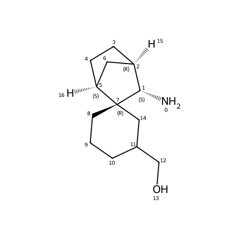 N[C@H]1[C@@H]2CC[C@@H](C2)[C@]12CCCC(CO)C2